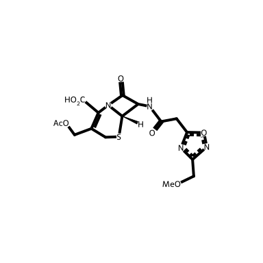 COCc1noc(CC(=O)NC2C(=O)N3C(C(=O)O)=C(COC(C)=O)CS[C@@H]23)n1